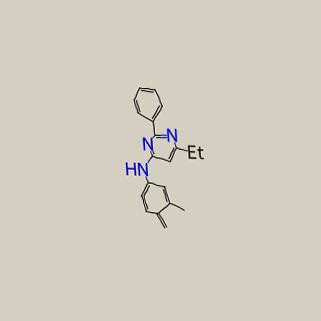 C=C1C=C=C(Nc2cc(CC)nc(-c3ccccc3)n2)C=C1C